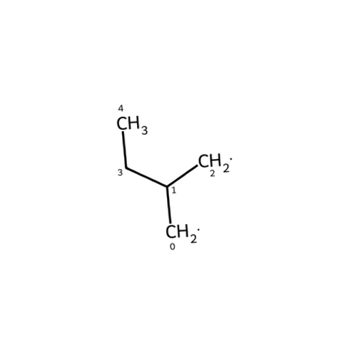 [CH2]C([CH2])CC